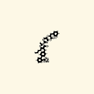 CCCCc1nc(C)n(-c2ncc(OC(Cc3ccccc3)C(=O)O)cn2)c(=O)c1Cc1ccc(-c2ccccc2-c2nnn[nH]2)cc1